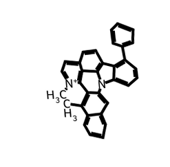 Cc1c2ccccc2cc2c1c1c3c(ccc4c5c(-c6ccccc6)cccc5n2c43)cc[n+]1C